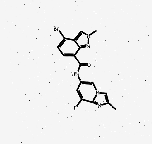 Cc1cn2cc(NC(=O)c3ccc(Br)c4cn(C)nc34)cc(F)c2n1